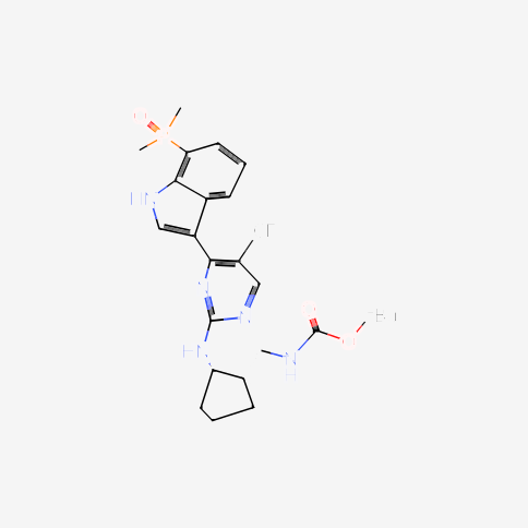 CC(C)(C)OC(=O)NC[C@@H]1CCC[C@@H]1Nc1ncc(C(F)(F)F)c(-c2c[nH]c3c(P(C)(C)=O)cccc23)n1